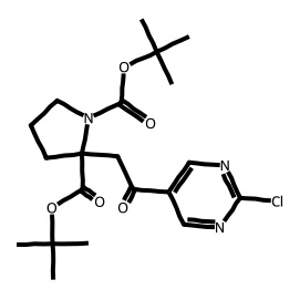 CC(C)(C)OC(=O)N1CCCC1(CC(=O)c1cnc(Cl)nc1)C(=O)OC(C)(C)C